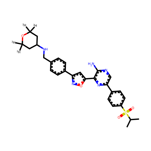 [2H]C1([2H])CC(NCc2ccc(-c3cc(-c4nc(-c5ccc(S(=O)(=O)C(C)C)cc5)cnc4N)on3)cc2)CC([2H])([2H])O1